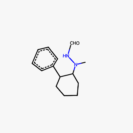 CN(NC=O)C1CCCCC1c1ccccc1